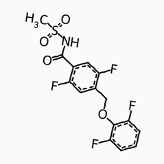 CS(=O)(=O)NC(=O)c1cc(F)c(COc2c(F)cccc2F)cc1F